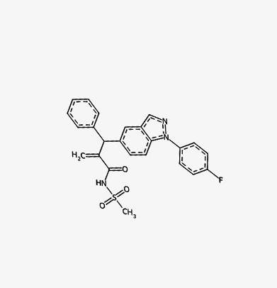 C=C(C(=O)NS(C)(=O)=O)C(c1ccccc1)c1ccc2c(cnn2-c2ccc(F)cc2)c1